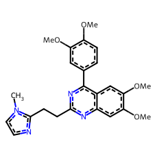 COc1ccc(-c2nc(CCc3nccn3C)nc3cc(OC)c(OC)cc23)cc1OC